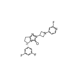 O=c1n(C2CN(c3ccnc(F)c3)C2)nc2n1[C@H](c1cc(F)cc(F)c1)CC2